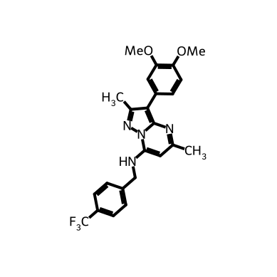 COc1ccc(-c2c(C)nn3c(NCc4ccc(C(F)(F)F)cc4)cc(C)nc23)cc1OC